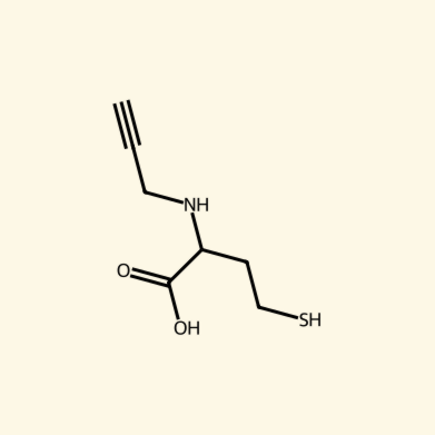 C#CCNC(CCS)C(=O)O